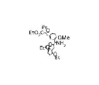 CCOC(=O)C(Cc1ccc(OC)c(C(N)C(=O)Cc2c(OCC)ccp2OCC)c1)OC(C)C